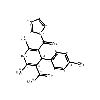 CCCC1=C(C(=O)n2ccnc2)C(c2ccc(C)cc2)C(C(=O)OC)=C(C)N1